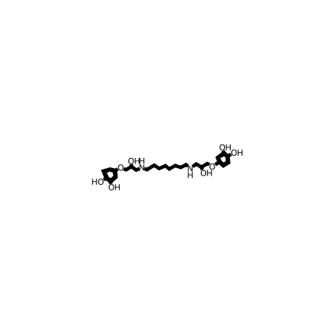 Oc1ccc(OCC(O)CNCCCCCCCCNCC(O)COc2ccc(O)c(O)c2)cc1O